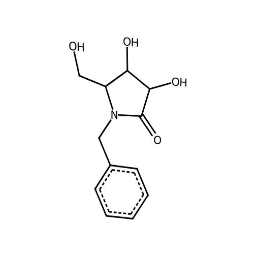 O=C1C(O)C(O)C(CO)N1Cc1ccccc1